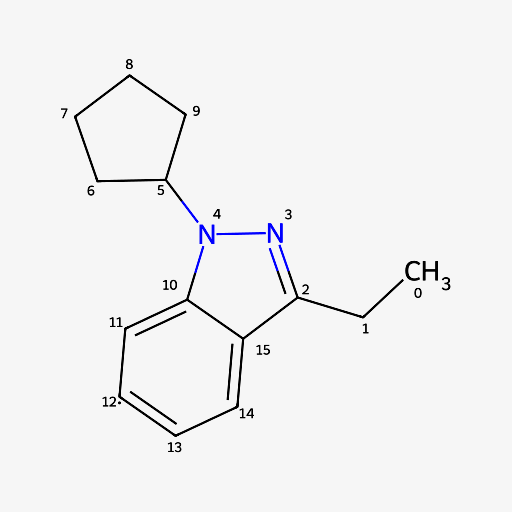 CCc1nn(C2CCCC2)c2c[c]ccc12